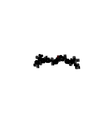 CC(C)n1c(=O)n(C2CCC(=O)NC2=O)c2ccc(C3CCN(C(=O)Nc4cccc(CS(=O)(=O)N5CC[C@H](Nc6cccc(-c7sc(C(=O)O)c(OCC(=O)O)c7Cl)c6)CC5(C)C)c4)CC3(F)F)cc21